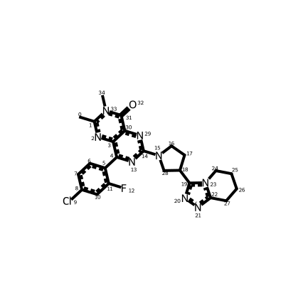 Cc1nc2c(-c3ccc(Cl)cc3F)nc(N3CCC(c4nnc5n4CCCC5)C3)nc2c(=O)n1C